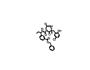 CCC(NC(=O)N1CC(=O)NCC(F)(Cc2cc(Cl)ccc2OC)C1=O)c1cccc(C(=O)OCc2ccccc2)c1